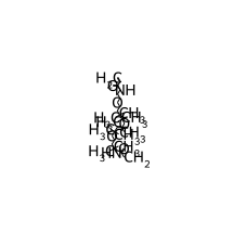 C=CC(=O)NCCOCCC(C)(C)C(C)(C)OC(C)CC(C)(C)OCCC(C)(C)NC(=O)C=C